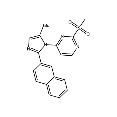 CC(C)(C)c1cnc(-c2ccc3ccccc3c2)n1-c1ccnc(S(C)(=O)=O)n1